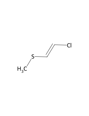 CSC=CCl